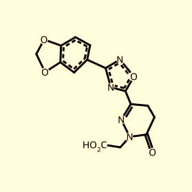 O=C(O)CN1N=C(c2nc(-c3ccc4c(c3)OCO4)no2)CCC1=O